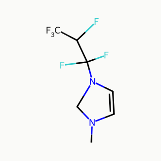 CN1C=CN(C(F)(F)C(F)C(F)(F)F)C1